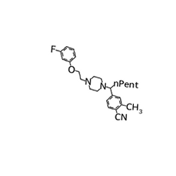 CCCCCC(c1ccc(C#N)c(C)c1)N1CCN(CCOc2cccc(F)c2)CC1